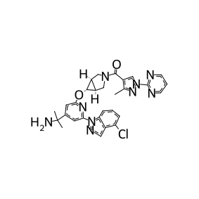 Cc1nn(-c2ncccn2)cc1C(=O)N1C[C@@H]2[C@H](C1)[C@H]2Oc1cc(C(C)(C)N)cc(-n2ncc3c(Cl)cccc32)n1